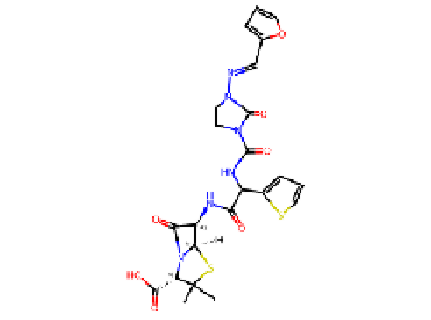 CC1(C)S[C@@H]2[C@H](NC(=O)C(NC(=O)N3CCN(N=Cc4ccco4)C3=O)c3cccs3)C(=O)N2[C@H]1C(=O)O